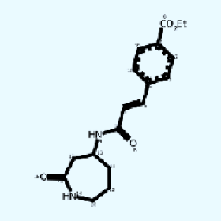 CCOC(=O)c1ccc(C=CC(=O)NC2CCCNC(=O)C2)cc1